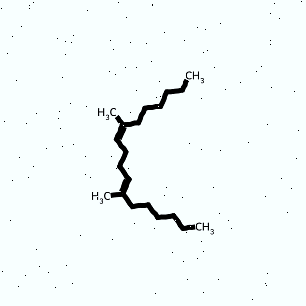 CCCCCCC(C)=CCCC=C(C)CCCCCC